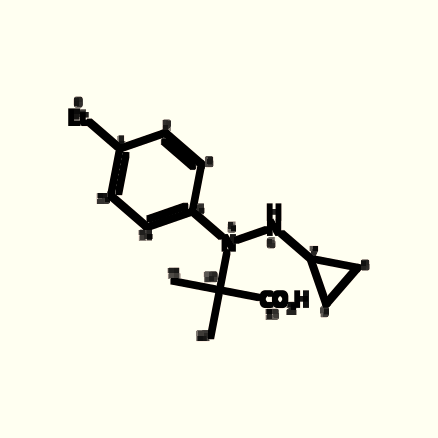 CCc1ccc(N(NC2CC2)C(C)(C)C(=O)O)cc1